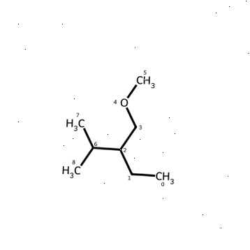 CCC(COC)C(C)C